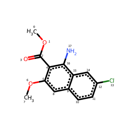 COC(=O)c1c(OC)cc2ccc(Cl)cc2c1N